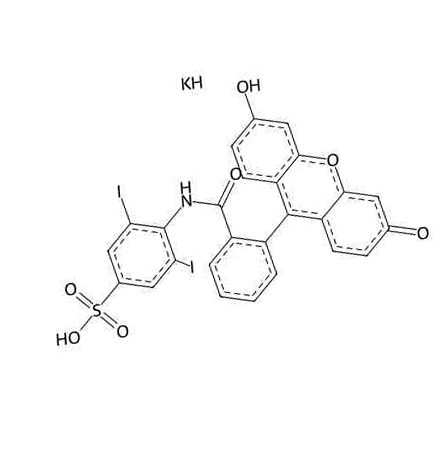 O=C(Nc1c(I)cc(S(=O)(=O)O)cc1I)c1ccccc1-c1c2ccc(=O)cc-2oc2cc(O)ccc12.[KH]